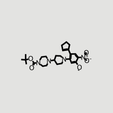 COc1cc(N2CCC(N3CCN(C(=O)OC(C)(C)C)CC3)CC2)c(C2=CCCC2)cc1[N+](=O)[O-]